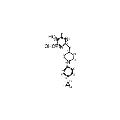 Cc1nc(CC2CCN(c3ccc(C4CC4)cc3)CC2)nc([C]=O)c1O